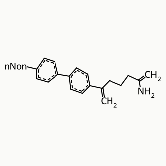 C=C(N)CCCC(=C)c1ccc(-c2ccc(CCCCCCCCC)cc2)cc1